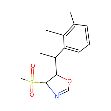 Cc1cccc(C(C)C2OC=NC2S(C)(=O)=O)c1C